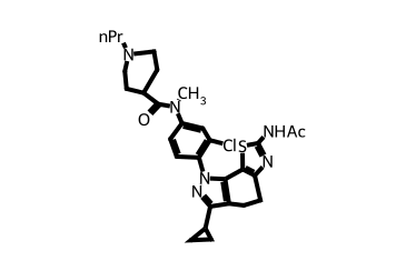 CCCN1CCC(C(=O)N(C)c2ccc(-n3nc(C4CC4)c4c3-c3sc(NC(C)=O)nc3CC4)c(Cl)c2)CC1